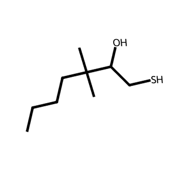 CCCCC(C)(C)C(O)CS